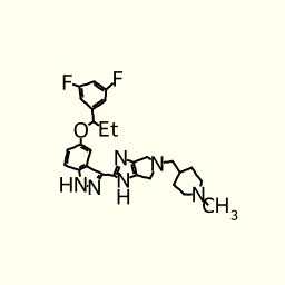 CCC(Oc1ccc2[nH]nc(-c3nc4c([nH]3)CN(CC3CCN(C)CC3)C4)c2c1)c1cc(F)cc(F)c1